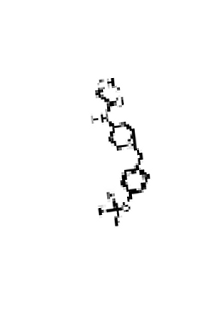 C=CC(=O)NC1CCN(Cc2ccc(SC(F)(F)F)cc2)CC1